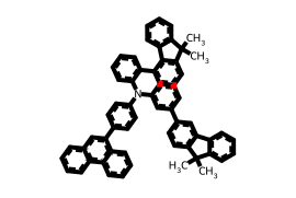 CC1(C)c2ccccc2-c2cc(-c3cccc(N(c4ccc(-c5cc6ccccc6c6ccccc56)cc4)c4ccccc4-c4cccc5c4-c4ccccc4C5(C)C)c3)ccc21